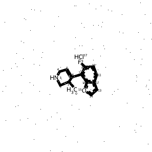 CC1CNCC=C1c1c(F)ccc2ccoc12.Cl